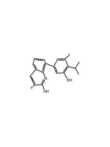 CC(C)c1c(O)cc(-c2cccc3cc(F)c(O)nc23)cc1F